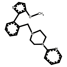 COc1ccsc1-c1ccccc1CN1CCN(c2ccccn2)CC1